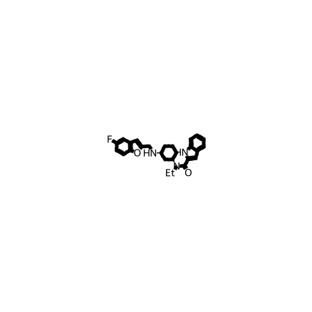 CCN(C(=O)c1cc2ccccc2[nH]1)[C@H]1CCC[C@@H](NCc2cc3cc(F)ccc3o2)C1